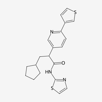 O=C(Nc1nccs1)C(CC1CCCC1)c1ccc(-c2ccsc2)nc1